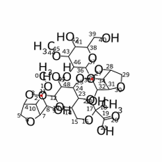 COC1OC2COC(C1O)C2OC1OC2COC(C)(C(=O)O)OC2C(OC2OC3COC(C2O)C3OC2OC(CO)C(O)C(OC)C2O)C1O